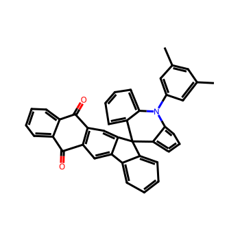 Cc1cc(C)cc(N2c3ccccc3C3(c4ccccc4-c4cc5c(cc43)C(=O)c3ccccc3C5=O)c3ccccc32)c1